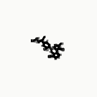 CCON=C(C)c1ccc(OCc2c(Cl)cccc2-n2nnn(C)c2=O)c(Cl)c1